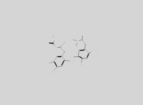 COc1cc(Br)c(C#N)cc1CC(C)N(C(=O)O)C(C)(C)C.COc1cc(Br)c(I)cc1CC(C)NC(=O)OC(C)(C)C